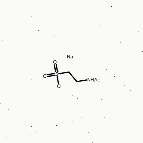 CC(=O)NCCS(=O)(=O)[O-].[Na+]